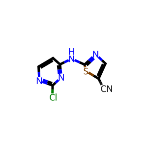 N#Cc1cnc(Nc2ccnc(Cl)n2)s1